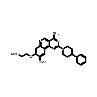 COCCOc1cc2ncc3c(N)nc(N4CCC(c5ccccc5)CC4)nc3c2cc1OC